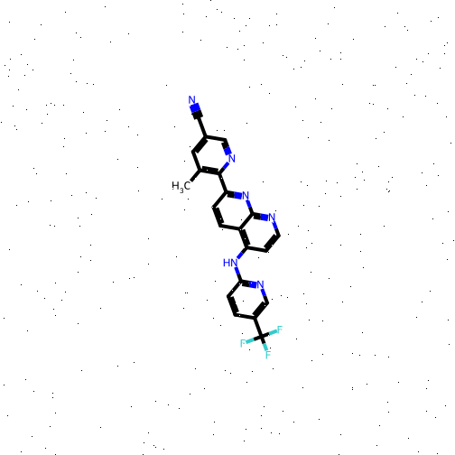 Cc1cc(C#N)cnc1-c1ccc2c(Nc3ccc(C(F)(F)F)cn3)ccnc2n1